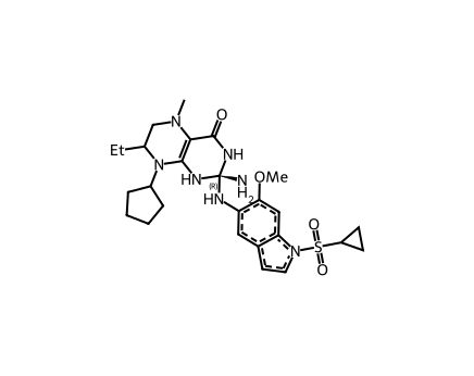 CCC1CN(C)C2=C(N[C@@](N)(Nc3cc4ccn(S(=O)(=O)C5CC5)c4cc3OC)NC2=O)N1C1CCCC1